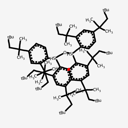 CC(C)(C)CC(C)(C)c1ccc([SiH](O[SiH](c2ccc(C(C)(C)CC(C)(C)C)cc2C(C)(C)CC(C)(C)C)c2ccc(C(C)(C)CC(C)(C)C)cc2C(C)(C)CC(C)(C)C)c2ccc(C(C)(C)CC(C)(C)C)cc2C(C)(C)CC(C)(C)C)c(C(C)(C)CC(C)(C)C)c1